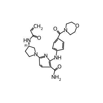 C=CC(=O)N[C@@H]1CCN(c2ccc(C(N)=O)c(Nc3ccc(C(=O)N4CCOCC4)cc3)n2)C1